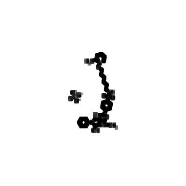 CNC(=O)C1(N=Nc2ccc(S(=O)(=O)NCCCCCCO[n+]3ccccc3C)cc2)C=C(O)N(c2ccccc2)N1.[O-][Cl+3]([O-])([O-])[O-]